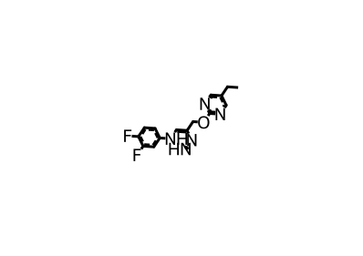 CCc1cnc(OC/C(=C/Nc2ccc(F)c(F)c2)N=N)nc1